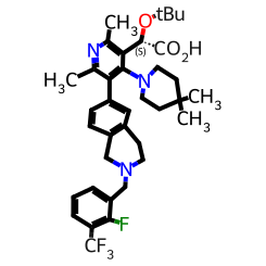 Cc1nc(C)c([C@H](OC(C)(C)C)C(=O)O)c(N2CCC(C)(C)CC2)c1-c1ccc2c(c1)CCN(Cc1cccc(C(F)(F)F)c1F)C2